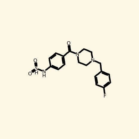 O=C(c1ccc(N[SH](=O)=O)cc1)N1CCN(Cc2ccc(F)cc2)CC1